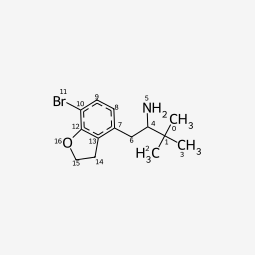 CC(C)(C)C(N)Cc1ccc(Br)c2c1CCO2